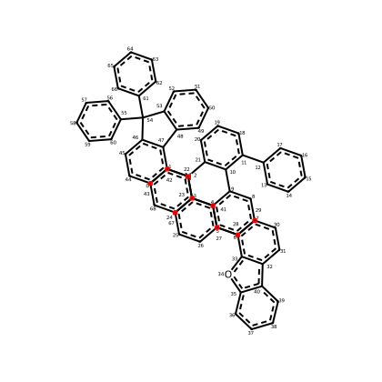 c1ccc(-c2ccccc2-c2c(-c3ccccc3)cccc2N(c2cccc(-c3cccc4c3oc3ccccc34)c2)c2cccc3c2-c2ccccc2C3(c2ccccc2)c2ccccc2)cc1